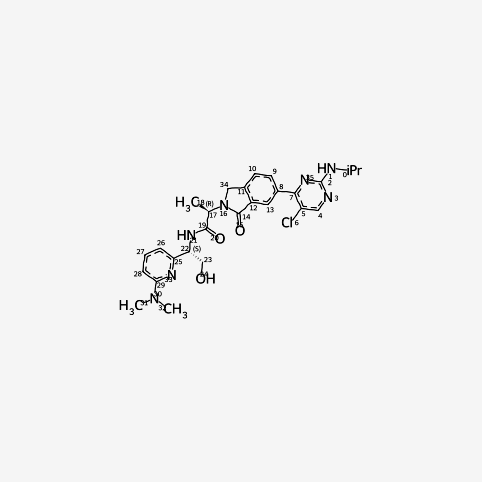 CC(C)Nc1ncc(Cl)c(-c2ccc3c(c2)C(=O)N([C@H](C)C(=O)N[C@H](CO)c2cccc(N(C)C)n2)C3)n1